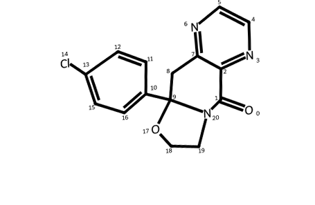 O=C1c2nccnc2CC2(c3ccc(Cl)cc3)OCCN12